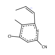 C/C=C\c1nc(C#N)cc(Cl)c1C